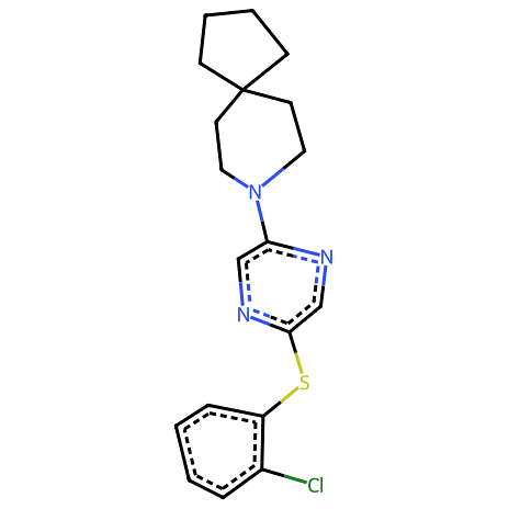 Clc1ccccc1Sc1cnc(N2CCC3(CCCC3)CC2)cn1